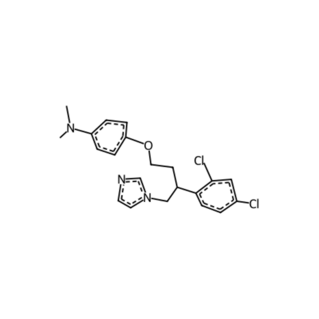 CN(C)c1ccc(OCCC(Cn2ccnc2)c2ccc(Cl)cc2Cl)cc1